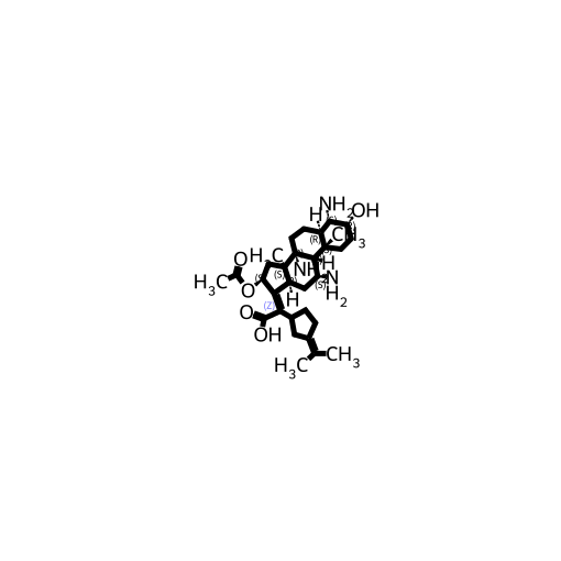 CC(=O)O[C@H]1C[C@@]2(C)[C@@H](C[C@H](N)[C@H]3[C@@]4(C)CC[C@@H](O)[C@@H](N)[C@@H]4CC[C@@]32N)/C1=C(/C(=O)O)C1CCC(=C(C)C)C1